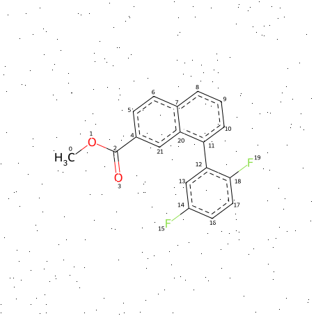 COC(=O)c1ccc2cccc(-c3cc(F)ccc3F)c2c1